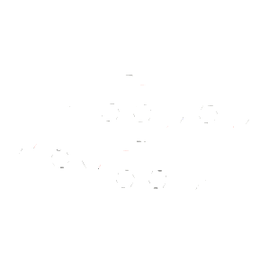 C=C(C)C(=O)Oc1ccc(/C=C(\C)C(=O)Oc2ccc(-c3ccc(OC(O)C(=C)C)cc3)c(OC(=O)C(=C)Cc3cc(OC(=O)/C=C(\C)c4ccc(OC(=O)C(=C)C)cc4)cc(OC(=O)C(=C)C)c3-c3ccc(OC(O)C(=C)C)cc3)c2)cc1